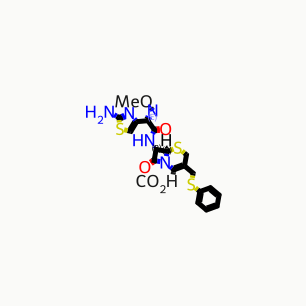 CO/N=C(/C(=O)N[C@@H]1C(=O)N2C(C(=O)O)=C(CSc3ccccc3)CS[C@H]12)c1csc(N)n1